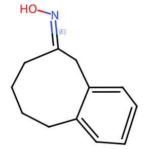 O/N=C1\CCCCc2ccccc2C1